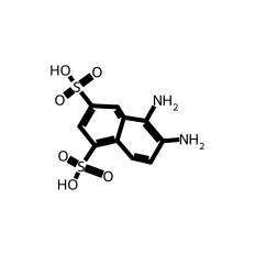 Nc1ccc2c(S(=O)(=O)O)cc(S(=O)(=O)O)cc2c1N